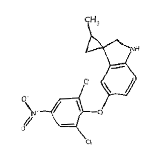 CC1CC12CNc1ccc(Oc3c(Cl)cc([N+](=O)[O-])cc3Cl)cc12